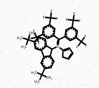 CC(C)(C)c1ccc2c(c1)-c1cc(C(C)(C)C)ccc1[CH]2[Zr]([C]1=CC=CC1)=[C](c1cc(C(F)(F)F)cc(C(F)(F)F)c1)c1cc(C(F)(F)F)cc(C(F)(F)F)c1